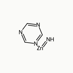 [NH]=[Zn].c1ncncn1